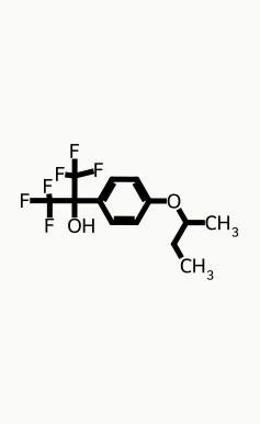 CCC(C)Oc1ccc(C(O)(C(F)(F)F)C(F)(F)F)cc1